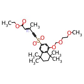 CCOC(=O)/C=C(\C)C#CS(=O)(=O)c1cc(OCOCCOC)c2c(c1)C(C)(C)CCC2(C)C